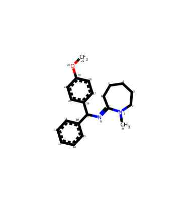 CN1CCCCCC1=NC(c1ccccc1)c1ccc(OC(F)(F)F)cc1